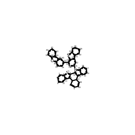 C1=CC2c3c(sc4ccccc34)-c3c(c4ccccc4n3-c3cc4c(sc5ccccc54)c(-c4ccc5oc6ccccc6c5c4)n3)C2C=C1